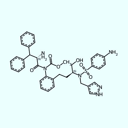 COC(=O)N(C(=O)[C@@H](N)C(c1ccccc1)c1ccccc1)c1ccccc1CC[C@@H](CO)N(Cc1cn[nH]c1)S(=O)(=O)c1ccc(N)cc1